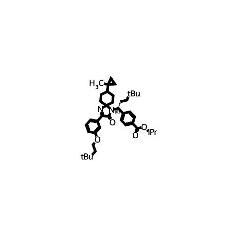 CC(C)OC(=O)c1ccc([C@@H](CCC(C)(C)C)N2C(=O)C(c3cccc(OCCC(C)(C)C)c3)=NC23CCC(C2(C)CC2)CC3)cc1